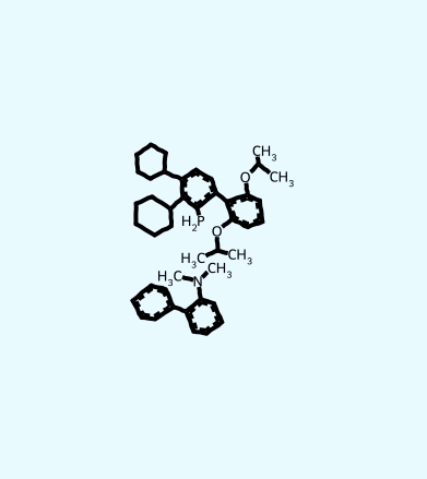 CC(C)Oc1cccc(OC(C)C)c1-c1ccc(C2CCCCC2)c(C2CCCCC2)c1P.CN(C)c1ccccc1-c1ccccc1